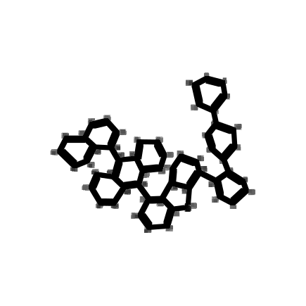 c1ccc(-c2ccc(-c3ccccc3-c3cccc4c3sc3cccc(-c5c6ccccc6c(-c6cccc7ccccc67)c6ccccc56)c34)cc2)cc1